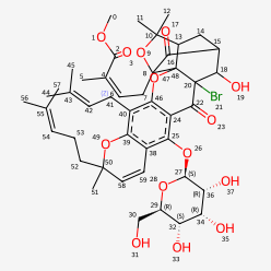 COC(=O)/C(C)=C\CC12OC(C)(C)C3CC(C1=O)C(O)C1(Br)C(=O)c4c(O[C@@H]5O[C@H](CO)[C@@H](O)[C@@H](O)[C@H]5O)c5c(c(CC=C(C)C)c4OC321)OC(C)(CCC=C(C)C)C=C5